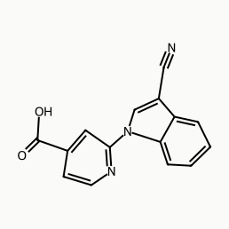 N#Cc1cn(-c2cc(C(=O)O)ccn2)c2ccccc12